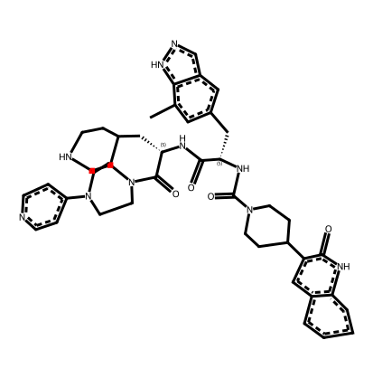 Cc1cc(C[C@H](NC(=O)N2CCC(c3cc4ccccc4[nH]c3=O)CC2)C(=O)N[C@@H](CC2CCNCC2)C(=O)N2CCN(c3ccncc3)CC2)cc2cn[nH]c12